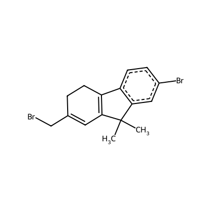 CC1(C)C2=C(CCC(CBr)=C2)c2ccc(Br)cc21